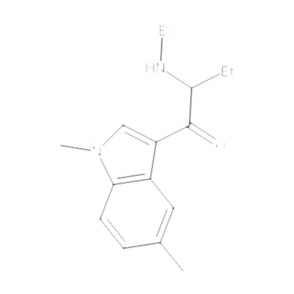 CCNC(CC)C(=O)c1cn(C)c2ccc(C)cc12